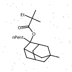 CCCCCC1(OC(=O)C(C)(C)CC)C2CC3CC1CC(C)(C3)C2